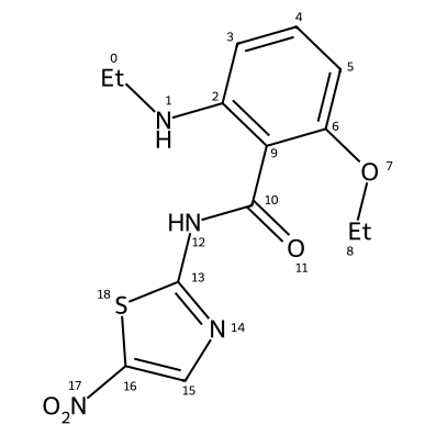 CCNc1cccc(OCC)c1C(=O)Nc1ncc([N+](=O)[O-])s1